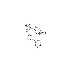 C[CH]([Cr][C]1=CC(c2ccccc2)=CC1)c1ccccn1.Cl.Cl